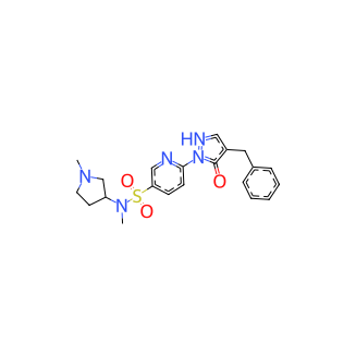 CN1CCC(N(C)S(=O)(=O)c2ccc(-n3[nH]cc(Cc4ccccc4)c3=O)nc2)C1